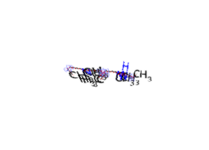 CCCCC/C=C\C/C=C\CCCCCCCCC(CCCCCCCC/C=C\C/C(=C\CCCCC)C(/C=C\CCCCC)/C=C\CCCCCCCCC(CCCCCCCC/C=C\C/C=C\CCCCC)CN(C)CCNC)CN(C)C